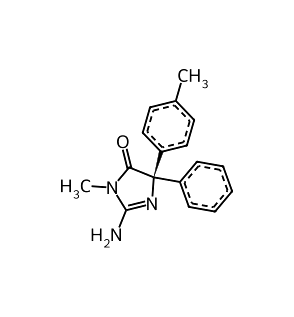 Cc1ccc([C@@]2(c3ccccc3)N=C(N)N(C)C2=O)cc1